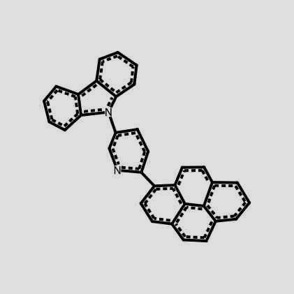 c1cc2ccc3ccc(-c4ccc(-n5c6ccccc6c6ccccc65)cn4)c4ccc(c1)c2c34